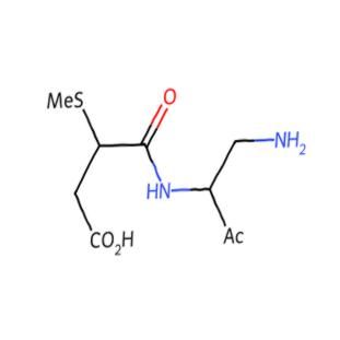 CSC(CC(=O)O)C(=O)NC(CN)C(C)=O